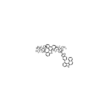 CC1(C)OB(c2cccc3sc4c5cc(CC6(C)OB(c7cc8cc(-c9cccc%10sc%11ccc%12ccccc%12c%11c9%10)ccc8o7)OC6(C)C)ccc5c5ccccc5c4c23)OC1(C)C